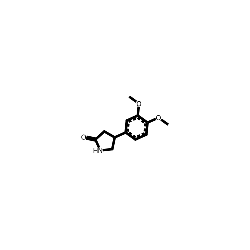 COc1ccc(C2CNC(=O)C2)cc1OC